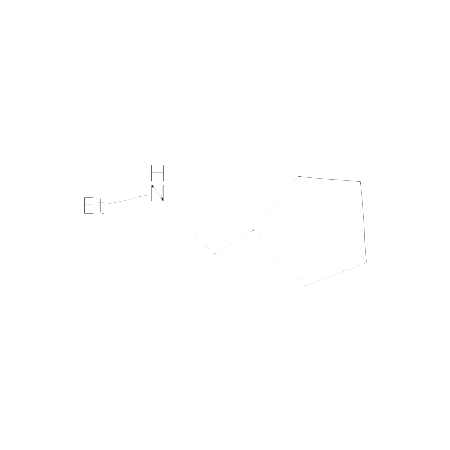 [CH2]CNCC1CCCC1